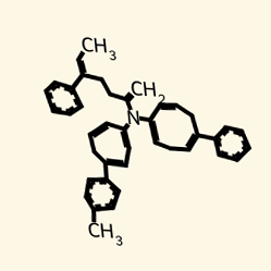 C=C(CC/C(=C\C)c1ccccc1)N(C1=CC=C(c2ccc(C)cc2)CC=C1)C1=C/C/C=C(/c2ccccc2)C/C=C\1